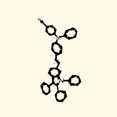 N#Cc1ccc(N(c2ccccc2)c2ccc(/C=C/c3ccc4c(-c5ccccc5)c(-c5ccccc5)n(-c5ccccc5)c4c3)cc2)cc1